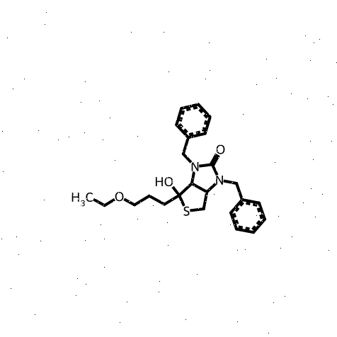 CCOCCCC1(O)SCC2C1N(Cc1ccccc1)C(=O)N2Cc1ccccc1